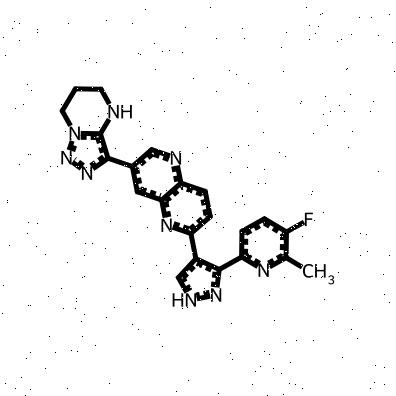 Cc1nc(-c2n[nH]cc2-c2ccc3ncc(-c4nnn5c4NCCC5)cc3n2)ccc1F